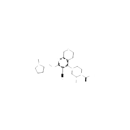 C[C@H]1CN(c2c(C#N)c(OC[C@@H]3CCCN3C)nc3c2CCNC3)CCN1C(=O)O